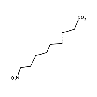 O=[N+]([O-])CCCCCCCC[N+](=O)[O-]